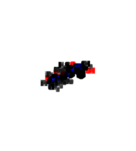 CC[C@H](C)C(C(CC(=O)N1CCC[C@H]1[C@H](OC)[C@@H](C)C(=O)N[C@@](C=O)(CNC(C)CCO)Cc1ccccc1)OC)N(C)C(=O)[C@@H](NC(=O)[C@H](C(C)C)N(C)C)C(C)C